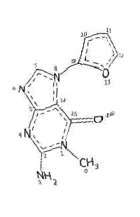 Cn1c(N)nc2ncn(-c3ccco3)c2c1=O